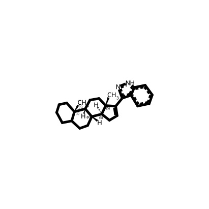 C[C@]12CCCCC1CC[C@@H]1[C@@H]2CC[C@]2(C)C(c3n[nH]c4ccccc34)=CC[C@@H]12